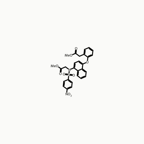 COC(=O)Cc1ccccc1Oc1ccc(N(CC(=O)OC)S(=O)(=O)c2ccc([N+](=O)[O-])cc2)c2ccccc12